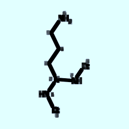 CCNN(CCCN)NCC